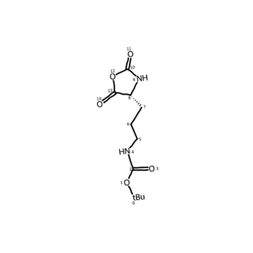 CC(C)(C)OC(=O)NCCC[C@H]1NC(=O)OC1=O